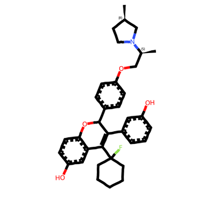 C[C@@H]1CCN([C@@H](C)COc2ccc(C3Oc4ccc(O)cc4C(C4(F)CCCCC4)=C3c3cccc(O)c3)cc2)C1